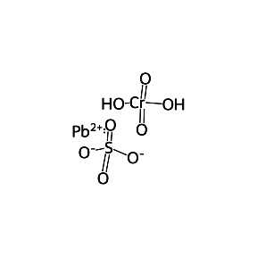 O=S(=O)([O-])[O-].[O]=[Cr](=[O])([OH])[OH].[Pb+2]